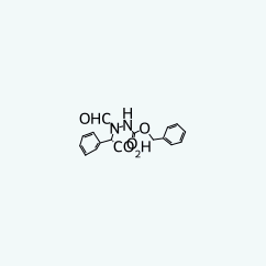 O=CN(NC(=O)OCc1ccccc1)[C@H](C(=O)O)c1ccccc1